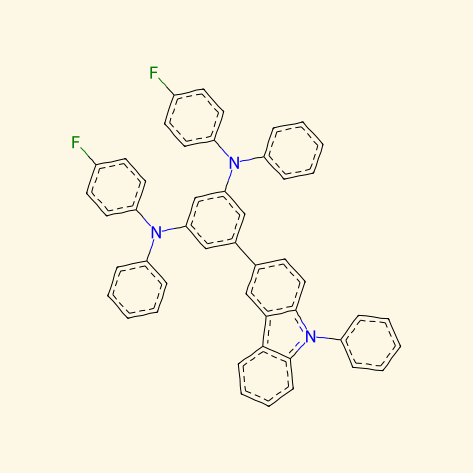 Fc1ccc(N(c2ccccc2)c2cc(-c3ccc4c(c3)c3ccccc3n4-c3ccccc3)cc(N(c3ccccc3)c3ccc(F)cc3)c2)cc1